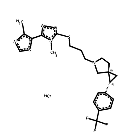 Cc1ncsc1-c1nnc(SCCCN2CC[C@]3(C[C@@H]3c3ccc(C(F)(F)F)cc3)C2)n1C.Cl